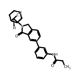 CCC(=O)Nc1cccc(-c2ccc3c(c2)C(=O)N([C@H]2CN4CCC2CC4)C3)c1